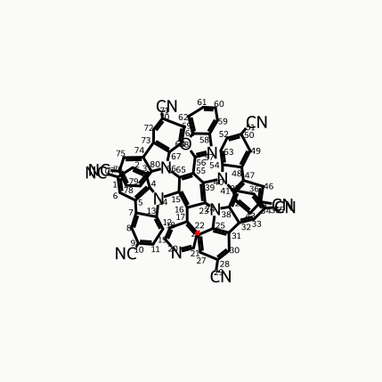 N#Cc1ccc2c(c1)c1cc(C#N)ccc1n2-c1c(-c2ccncc2)c(-n2c3ccc(C#N)cc3c3cc(C#N)ccc32)c(-n2c3ccc(C#N)cc3c3cc(C#N)ccc32)c(-c2nc3ccccc3o2)c1-n1c2ccc(C#N)cc2c2cc(C#N)ccc21